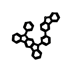 c1ccc(-n2c3ccccc3c3cc4c5ccccc5n(-c5cccc(-c6ccc7oc8ccccc8c7c6)n5)c4cc32)cc1